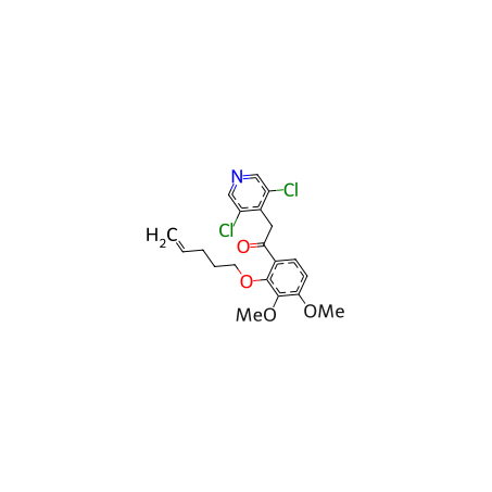 C=CCCCOc1c(C(=O)Cc2c(Cl)cncc2Cl)ccc(OC)c1OC